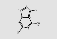 Cc1cnn2cc(Cl)cc(O)c12